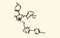 Cc1ccc(-c2noc(CSc3nnc(-c4ccncc4)n3-c3cccc(Cl)c3C)n2)cc1